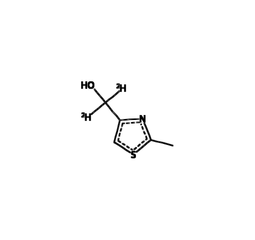 [2H]C([2H])(O)c1csc(C)n1